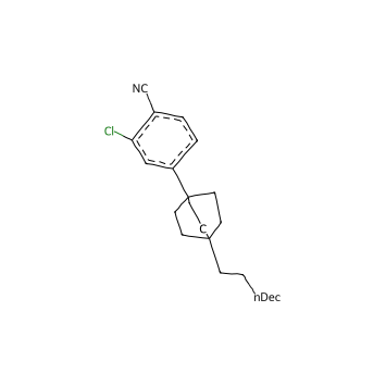 CCCCCCCCCCCCC12CCC(c3ccc(C#N)c(Cl)c3)(CC1)CC2